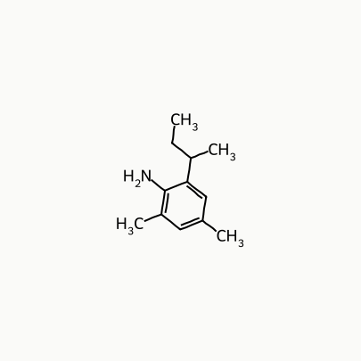 CCC(C)c1cc(C)cc(C)c1N